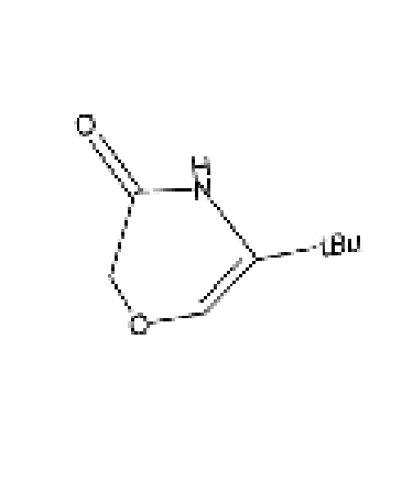 CC(C)(C)C1=COCC(=O)N1